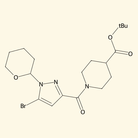 CC(C)(C)OC(=O)C1CCN(C(=O)c2cc(Br)n(C3CCCCO3)n2)CC1